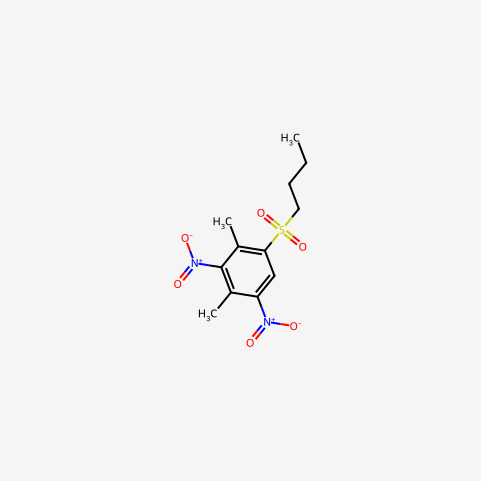 CCCCS(=O)(=O)c1cc([N+](=O)[O-])c(C)c([N+](=O)[O-])c1C